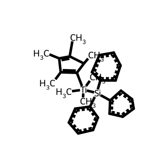 CC1=C(C)C(C)[C]([Ti]([CH3])([CH3])([CH3])[Si](c2ccccc2)(c2ccccc2)c2ccccc2)=C1C